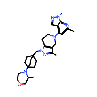 Cc1cc(N2CCc3c(c(C)nn3CC34CCC(N5CCOCC5C)(CC3)CC4)C2)c2cnn(C)c2n1